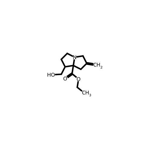 C=C1CN2CCC(CO)C2(C(=O)OCC)C1